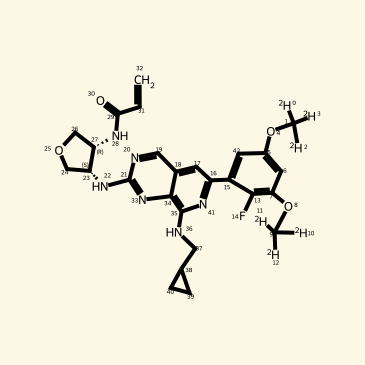 [2H]C([2H])([2H])Oc1cc(OC([2H])([2H])[2H])c(F)c(-c2cc3cnc(N[C@@H]4COC[C@@H]4NC(=O)C=C)nc3c(NCC3CC3)n2)c1